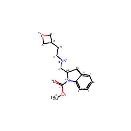 CC(C)(C)OC(=O)N1c2ccccc2CC1CNCCC1COC1